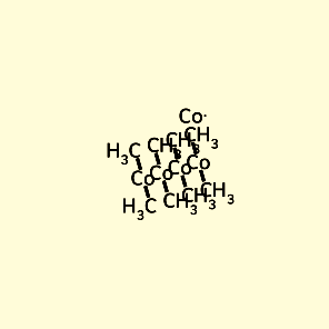 [CH3][Co][CH3].[CH3][Co][CH3].[CH3][Co][CH3].[CH3][Co][CH3].[Co]